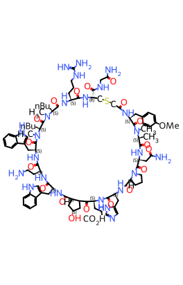 CCCC[C@H]1C(=O)N(C)[C@@H](CCCC)C(=O)N[C@@H](CCCNC(=N)N)C(=O)N[C@H](C(=O)NCC(N)=O)CSCC(=O)N[C@@H](Cc2ccc(OC)cc2)C(=O)N(C)[C@@H](C)C(=O)N[C@@H](CC(N)=O)C(=O)N2CCC[C@H]2C(=O)N[C@@H](Cc2cnc[nH]2)C(=O)N[C@@H](CCC(=O)O)C(=O)C2C[C@H](O)C[C@H]2C(=O)N[C@@H](Cc2c[nH]c3ccccc23)C(=O)N[C@@H](CCN)C(=O)N[C@@H](Cc2c[nH]c3ccccc23)C(=O)N1C